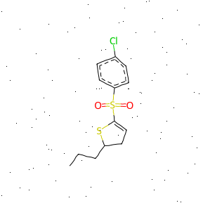 CCCC1CC=C(S(=O)(=O)c2ccc(Cl)cc2)S1